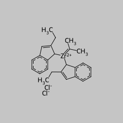 CCC1=Cc2ccccc2[CH]1[Zr+2](=[C](C)C)[CH]1C(CC)=Cc2ccccc21.[Cl-].[Cl-]